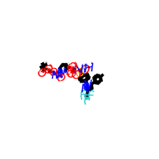 Cc1ccc(-c2cc(C(F)(F)F)nn2-c2ccc(S(=O)(=O)NC(=O)OC3CCCN(/[N+]([O-])=N\OCOC(=O)C(C)(C)C)C3)cc2)cc1